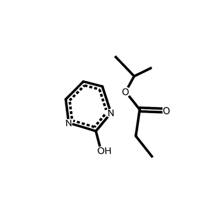 CCC(=O)OC(C)C.Oc1ncccn1